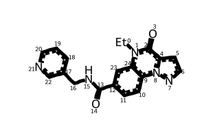 CCn1c(=O)c2ccnn2c2ccc(C(=O)NCc3cccnc3)cc21